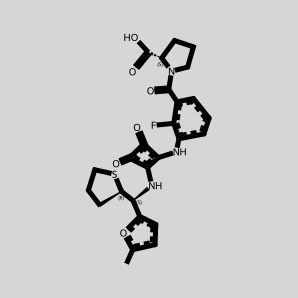 Cc1ccc([C@H](Nc2c(Nc3cccc(C(=O)N4CCC[C@H]4C(=O)O)c3F)c(=O)c2=O)[C@H]2CCCS2)o1